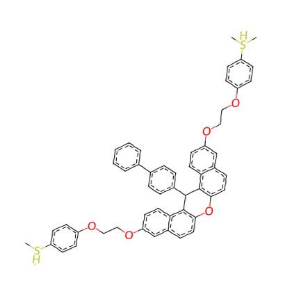 C[SH](C)c1ccc(OCCOc2ccc3c4c(ccc3c2)Oc2ccc3cc(OCCOc5ccc([SH](C)C)cc5)ccc3c2C4c2ccc(-c3ccccc3)cc2)cc1